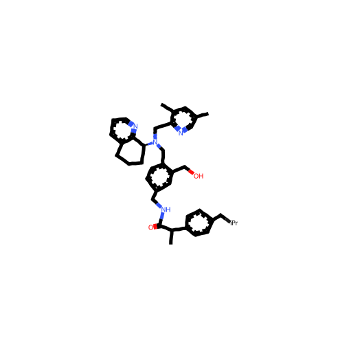 Cc1cnc(CN(Cc2ccc(CNC(=O)C(C)c3ccc(CC(C)C)cc3)cc2CO)[C@H]2CCCc3cccnc32)c(C)c1